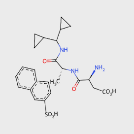 C[C@@H](NC(=O)[C@@H](N)CC(=O)O)C(=O)NC(C1CC1)C1CC1.O=S(=O)(O)c1ccc2ccccc2c1